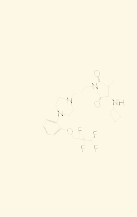 CC1C(=O)N(CCCN2CCN(c3ccccc3OCC(F)(F)C(F)F)CC2)C(=O)C1NC1CCC1